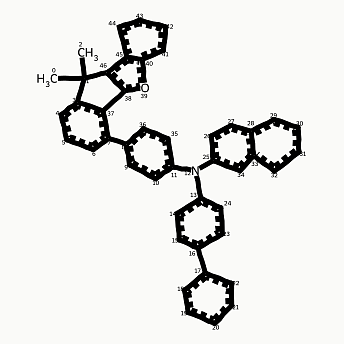 CC1(C)c2cccc(-c3ccc(N(c4ccc(-c5ccccc5)cc4)c4ccc5ccccc5c4)cc3)c2-c2oc3ccccc3c21